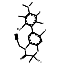 C#CCN1C(=O)C(C)(P)Oc2cc(F)c(-c3c(F)c(F)c(N(C)C)c(I)c3P)cc21